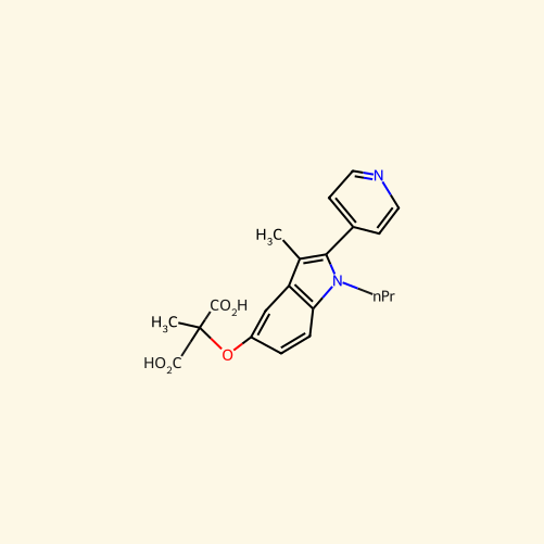 CCCn1c(-c2ccncc2)c(C)c2cc(OC(C)(C(=O)O)C(=O)O)ccc21